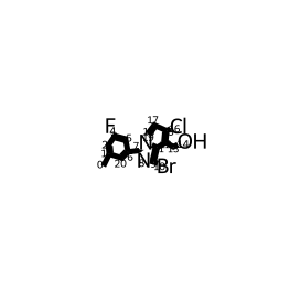 Cc1cc(F)cc(-c2nc(Br)c3c(CO)c(Cl)ccn23)c1